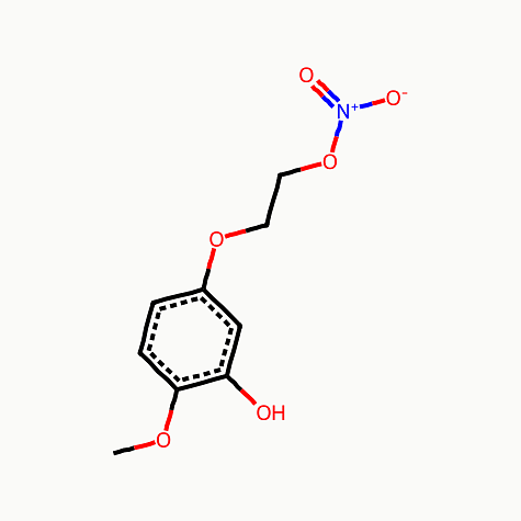 COc1ccc(OCCO[N+](=O)[O-])cc1O